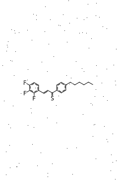 CCCCCCc1ccc(C(=S)C=Cc2ccc(F)c(F)c2F)cc1